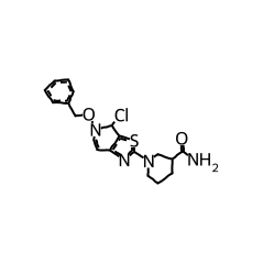 NC(=O)C1CCCN(c2nc3c(s2)C(Cl)N(OCc2ccccc2)C=C3)C1